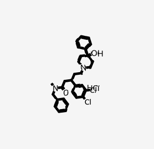 CN(Cc1ccccc1)C(=O)CC(CCN1CCC(O)(c2ccccc2)CC1)c1ccc(Cl)c(Cl)c1.Cl